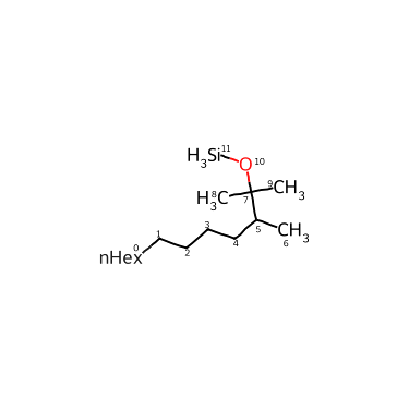 CCCCCCCCCCC(C)C(C)(C)O[SiH3]